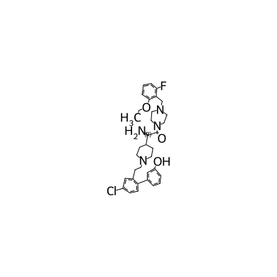 CCOc1cccc(F)c1CN1CCN(C(=O)[C@H](N)C2CCN(CCc3cc(Cl)ccc3-c3cccc(O)c3)CC2)CC1